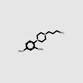 COc1ccc(N2CCN(CCCN)CC2)c(OC)c1